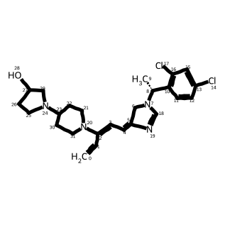 C=C/C(=C\C=C1/CN([C@H](C)c2ccc(Cl)cc2Cl)C=N1)N1CCC(N2CCC(O)C2)CC1